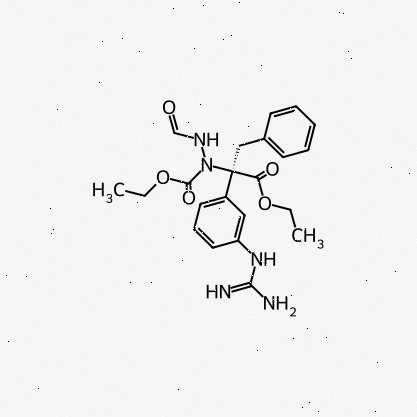 CCOC(=O)N(NC=O)[C@@](Cc1ccccc1)(C(=O)OCC)c1cccc(NC(=N)N)c1